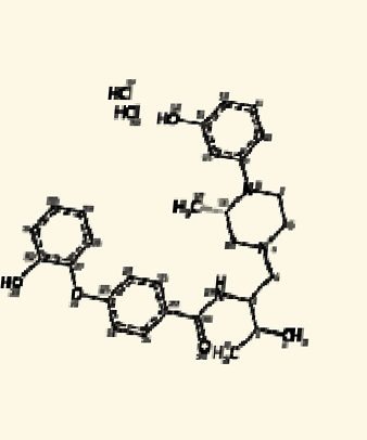 CC(C)C(CN1CCN(c2cccc(O)c2)[C@@H](C)C1)NC(=O)c1ccc(Oc2ccccc2O)cc1.Cl.Cl